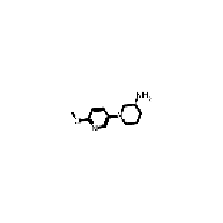 COc1ccc(N2CCC[C@H](N)C2)cn1